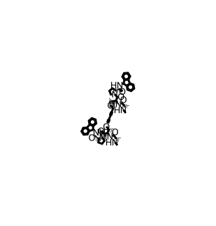 CN[C@@H](C)C(=O)N[C@H](C(=O)N1CCC[C@H]1C(=O)NC1c2ccccc2-c2ccccc21)[C@@H](C)OC#CC#CCO[C@H](C)[C@H](NC(=O)[C@H](C)NC)C(=O)N1CCC[C@H]1C(=O)NC1c2ccccc2-c2ccccc21